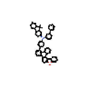 CC1(C)c2ccccc2-c2ccc(N(c3ccc(-c4cccc5c6ccc7oc8ccccc8c7c6c6ccccc6c45)cc3)c3cccc(-c4ccccc4)c3)cc21